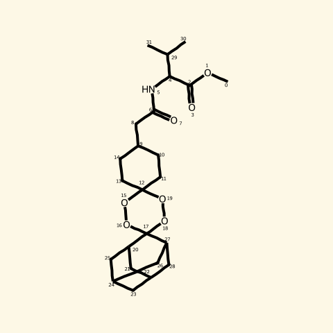 COC(=O)C(NC(=O)CC1CCC2(CC1)OOC1(OO2)C2CC3CC(C2)CC1C3)C(C)C